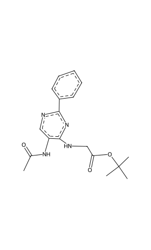 CC(=O)Nc1cnc(-c2ccccc2)nc1NCC(=O)OC(C)(C)C